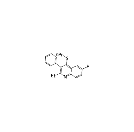 CCCSc1c(-c2ccccc2)c(CC)nc2ccc(F)cc12